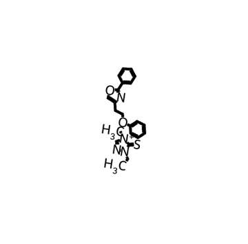 CCN1N=C[N+](C)(c2ccccc2OCCc2coc(-c3ccccc3)n2)C1=S